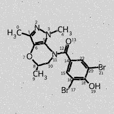 Cc1nn(C)c2c1O[C@H](C)CN2C(=O)c1cc(Br)c(O)c(Br)c1